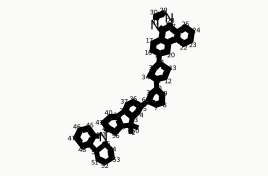 CC1(C)c2cc(-c3cccc(-c4ccc(-c5ccc6c(c5)c5ccccc5c5nccnc65)cc4)c3)ccc2-c2ccc(N3c4ccccc4C4C=CC=CC43)cc21